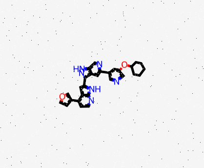 c1cc(-c2ccoc2)c2cc(-c3n[nH]c4cnc(-c5cncc(OC6CCCCC6)c5)cc34)[nH]c2n1